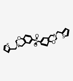 O=S(=O)(c1ccc2c(c1)CN(Cc1cccs1)CO2)c1ccc2c(c1)CN(Cc1cccs1)CO2